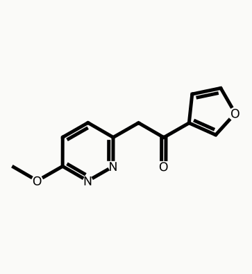 COc1ccc(CC(=O)c2ccoc2)nn1